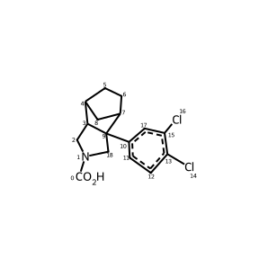 O=C(O)N1CC2C3CCC(C3)C2(c2ccc(Cl)c(Cl)c2)C1